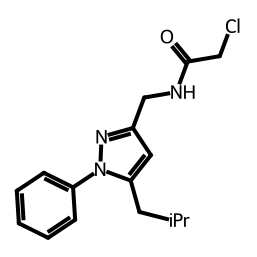 CC(C)Cc1cc(CNC(=O)CCl)nn1-c1ccccc1